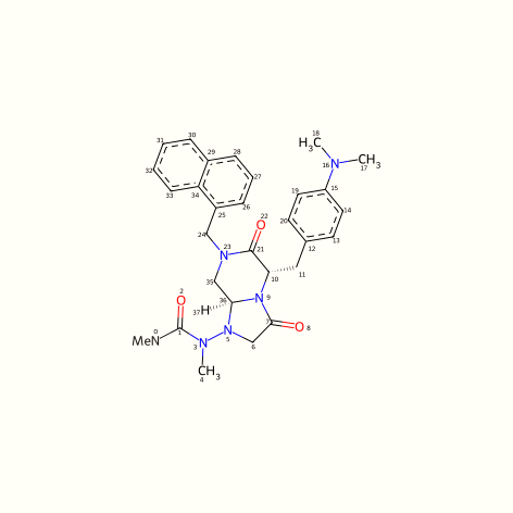 CNC(=O)N(C)N1CC(=O)N2[C@@H](Cc3ccc(N(C)C)cc3)C(=O)N(Cc3cccc4ccccc34)C[C@@H]21